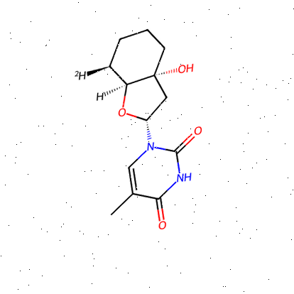 [2H][C@H]1CCC[C@@]2(O)C[C@H](n3cc(C)c(=O)[nH]c3=O)O[C@@H]12